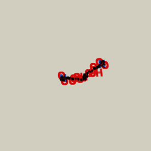 O=C(CCCCCN1C(=O)C=CC1=O)OCC(O)COCC1CC2C3CC(COCC(O)COC(=O)CCCCCN4C(=O)C=CC4=O)C(C3)C2C1